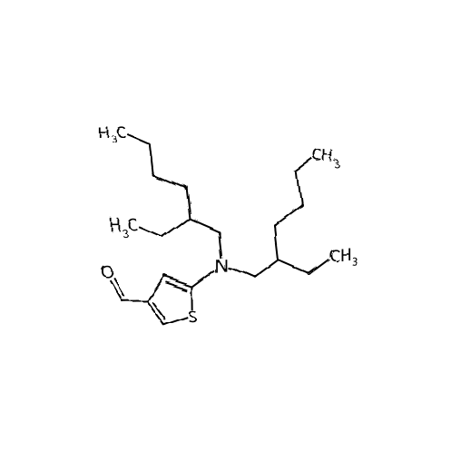 CCCCC(CC)CN(CC(CC)CCCC)c1cc(C=O)cs1